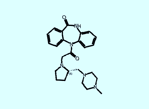 CN1CCN(C[C@@H]2CCCN2CC(=O)N2c3ccccc3NC(=O)c3ccccc32)CC1